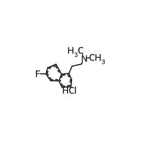 CN(C)CCc1cccc2cc(F)ccc12.Cl